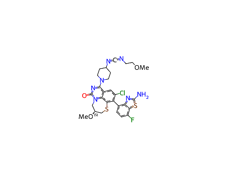 COCCN=C=NC1CCN(c2nc(=O)n3c4c(c(-c5ccc(F)c6sc(N)nc56)c(Cl)cc24)SC[C@@H](OC)C3)CC1